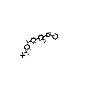 COc1nc(-c2ccc(N(C)[C@@H]3CCN(C(=O)OC(C)(C)C)[C@H](C)C3)nn2)ccc1-c1cnn(C2CCCCO2)c1